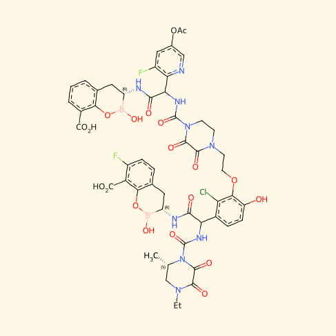 CCN1C[C@H](C)N(C(=O)NC(C(=O)N[C@H]2Cc3ccc(F)c(C(=O)O)c3OB2O)c2ccc(O)c(OCCN3CCN(C(=O)NC(C(=O)N[C@H]4Cc5cccc(C(=O)O)c5OB4O)c4ncc(OC(C)=O)cc4F)C(=O)C3=O)c2Cl)C(=O)C1=O